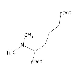 CCCCCCCCCCCCCC(CCCCCCCCCC)N(C)C